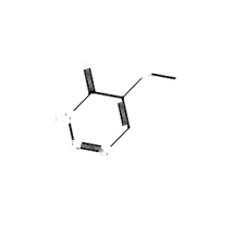 CSc1cnn[nH]c1=O